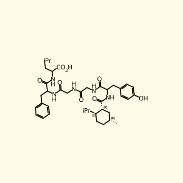 CC(C)CC(NC(=O)C(Cc1ccccc1)NC(=O)CNC(=O)CNC(=O)C(Cc1ccc(O)cc1)NC(=O)[C@@H]1C[C@H](C)CC[C@H]1C(C)C)C(=O)O